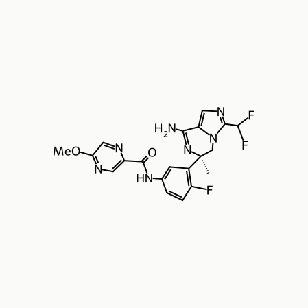 COc1cnc(C(=O)Nc2ccc(F)c([C@]3(C)Cn4c(cnc4C(F)F)C(N)=N3)c2)cn1